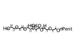 CCCCCOCCOCCOCCOCCOCCOCCO.O=S(=O)(O)O